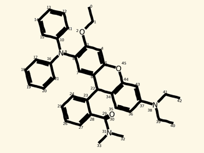 CCOc1cc2c(cc1N(c1ccccc1)c1ccccc1)C(c1ccccc1C(=O)N(C)C)c1ccc(N(CC)CC)cc1O2